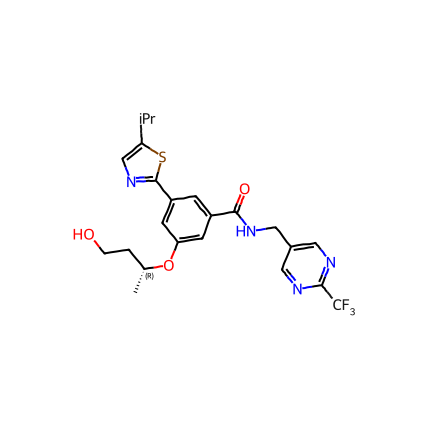 CC(C)c1cnc(-c2cc(O[C@H](C)CCO)cc(C(=O)NCc3cnc(C(F)(F)F)nc3)c2)s1